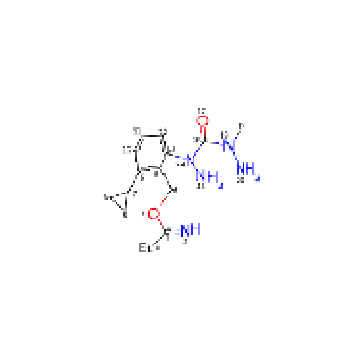 CCC(=N)OCc1c(C2CC2)cccc1N(N)C(=O)N(C)N